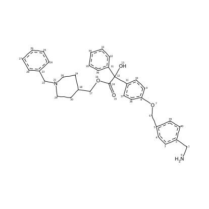 NCc1ccc(COc2ccc(C(O)(C(=O)OCC3CCN(Cc4ccccc4)CC3)c3ccccc3)cc2)cc1